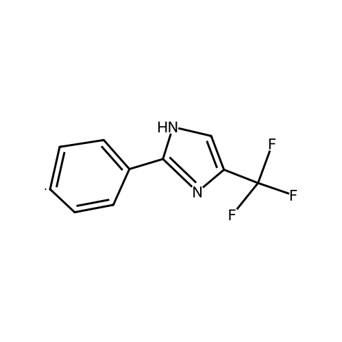 FC(F)(F)c1c[nH]c(-c2cc[c]cc2)n1